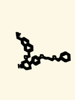 BrCc1ccc2ccc(COC3CNCCC3c3ccc(OCCCOCc4ccccc4)cc3)cc2c1